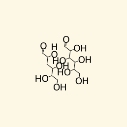 O=CC(O)C(O)C(O)C(O)CO.O=CC(O)CC(O)C(O)CO